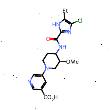 CCc1[nH]c(C(=O)N[C@@H]2CCN(c3cncc(C(=O)O)c3)C[C@@H]2OC)nc1Cl